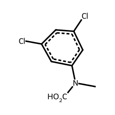 CN(C(=O)O)c1cc(Cl)cc(Cl)c1